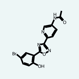 CC(=O)Nc1ccc(-c2noc(-c3cc(Br)ccc3O)n2)nc1